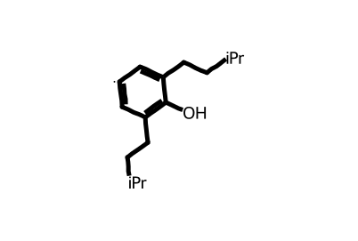 CC(C)CCc1c[c]cc(CCC(C)C)c1O